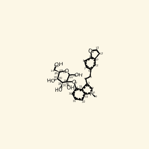 Cn1cc(CCc2ccc3c(c2)CCO3)c2c(O[C@]3(O)C(O)O[C@H](CO)[C@@H](O)[C@@H]3O)cccc21